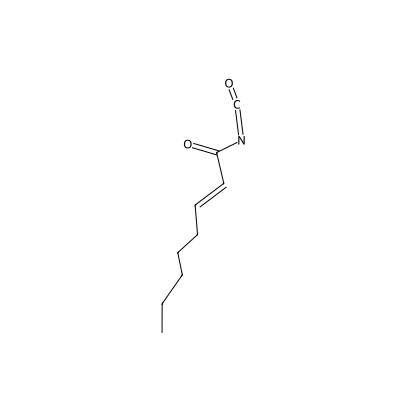 CCCCC/C=C/C(=O)N=C=O